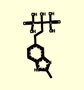 Cc1nc2cc(CCC(O)(P(=O)(O)O)P(=O)(O)O)ccc2[nH]1